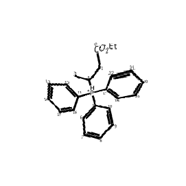 CCOC(=O)CC(C)[PH](c1ccccc1)(c1ccccc1)c1ccccc1